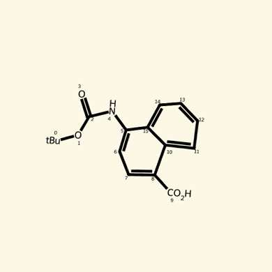 CC(C)(C)OC(=O)Nc1ccc(C(=O)O)c2ccccc12